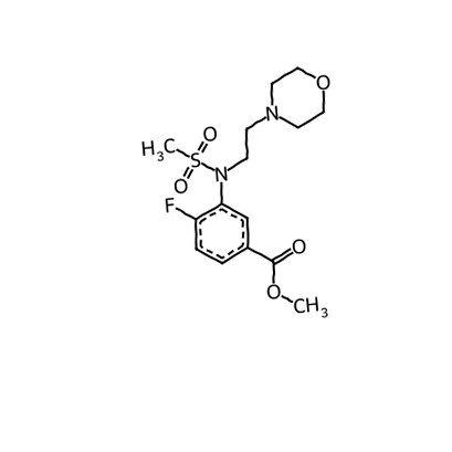 COC(=O)c1ccc(F)c(N(CCN2CCOCC2)S(C)(=O)=O)c1